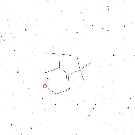 CC(C)(C)C1=CCOCC1C(C)(C)C